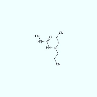 N#CCCN(CCC#N)NC(=O)NN